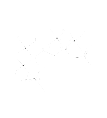 CC(=O)O[Si](CC[Si](OC(C)=O)(C(C)(C)C)C(C)(C)C)(C(C)(C)C)C(C)(C)C